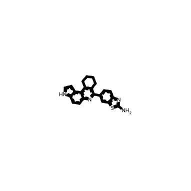 Nc1nc2ccc(-c3nc4ccc5[nH]ccc5c4c4c3CCCC4)cc2s1